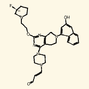 O=CC=CN1CCN(c2nc(OCCN3CCC[C@H](F)C3)nc3c2CCN(c2cc(O)cc4ccccc24)C3)CC1